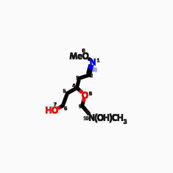 CO/N=C\CC(CCO)OCN(C)O